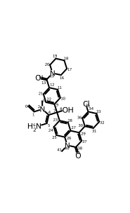 C=CN(C)/C(=C\N)C(O)(c1ccc(C(=O)N2CCCCC2)cc1)c1ccc2c(c1)c(-c1cccc(Cl)c1)cc(=O)n2C